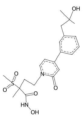 CC(C)(O)Cc1cccc(-c2ccn(CCC(C)(C(=O)NO)S(C)(=O)=O)c(=O)c2)c1